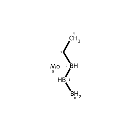 BBBCC.[Mo]